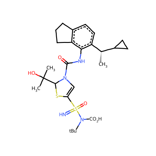 C[C@H](c1ccc2c(c1NC(=O)N1C=C(S(=N)(=O)N(C(=O)O)C(C)(C)C)SC1C(C)(C)O)CCC2)C1CC1